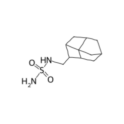 NS(=O)(=O)NCC1C2CC3CC(C2)CC1C3